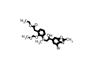 CCOC(=O)Cc1cccc(N(C)CC(O)c2cc(Br)c3nc(C)oc3c2)c1OCOC